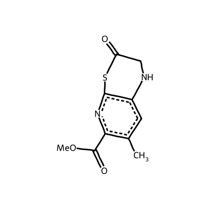 COC(=O)c1nc2c(cc1C)NCC(=O)S2